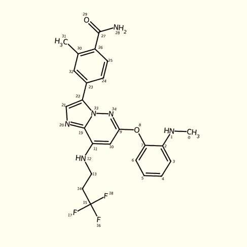 CNc1ccccc1Oc1cc(NCCC(F)(F)F)c2ncc(-c3ccc(C(N)=O)c(C)c3)n2n1